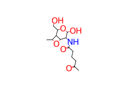 CC(=O)CCCC(=O)NC1C(O)OC(CO)C2C(C)OC12